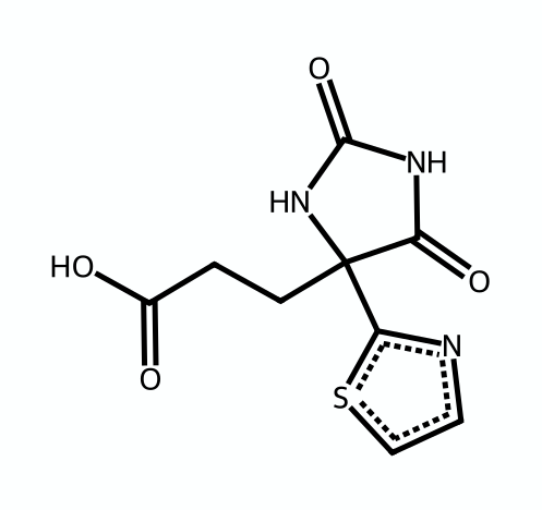 O=C(O)CCC1(c2nccs2)NC(=O)NC1=O